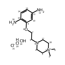 C[N+]1(C)CCN(CCOc2cc(N)ccc2N)CC1.Cl.Cl.[Cl-]